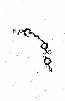 Cc1ccc(CCCCCc2ccc(C(=O)Oc3ccc(C#N)cc3)cc2)cc1